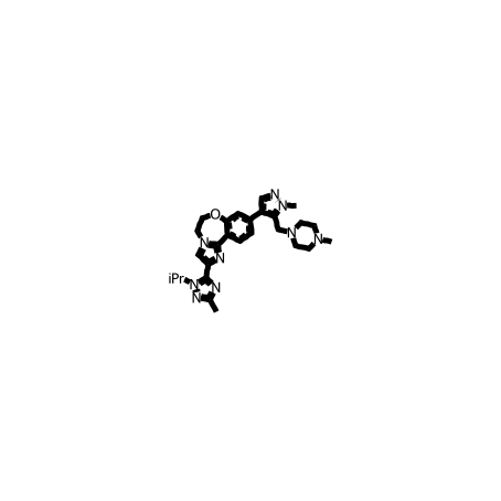 Cc1nc(-c2cn3c(n2)-c2ccc(-c4cnn(C)c4CN4CCN(C)CC4)cc2OCC3)n(C(C)C)n1